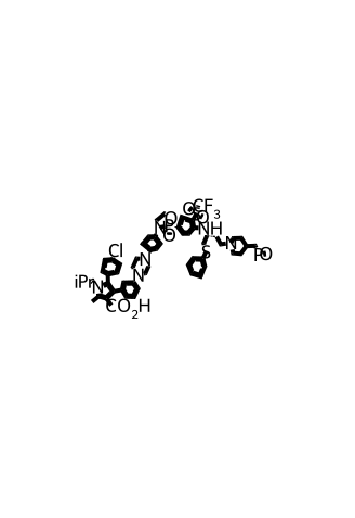 Cc1c(C(=O)O)c(-c2cccc(N3CCN(c4ccc(N5CCO[P@]5(=O)c5ccc(N[C@H](CCN6CCC(CP=O)CC6)CSc6ccccc6)c(S(=O)(=O)C(F)(F)F)c5)cc4)CC3)c2)c(-c2ccc(Cl)cc2)n1C(C)C